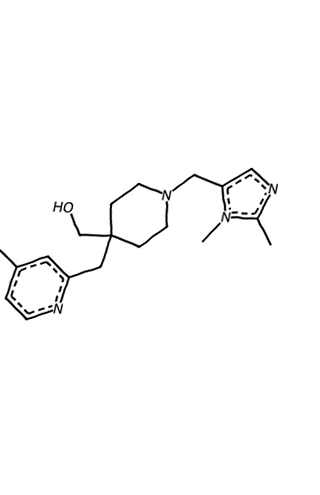 Cc1ncc(CN2CCC(CO)(Cc3cc(Cl)ccn3)CC2)n1C